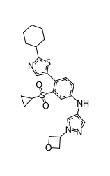 O=S(=O)(c1cc(Nc2cnn(C3COC3)c2)ccc1-c1cnc(C2CCCCC2)s1)C1CC1